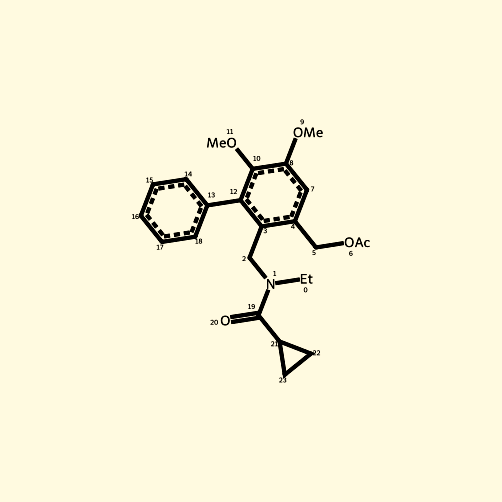 CCN(Cc1c(COC(C)=O)cc(OC)c(OC)c1-c1ccccc1)C(=O)C1CC1